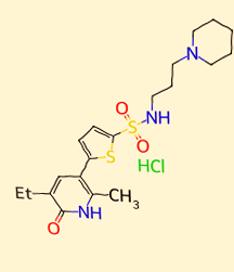 CCc1cc(-c2ccc(S(=O)(=O)NCCCN3CCCCC3)s2)c(C)[nH]c1=O.Cl